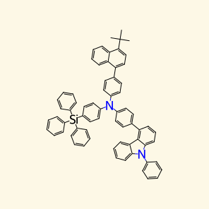 CC(C)(C)c1ccc(-c2ccc(N(c3ccc(-c4cccc5c4c4ccccc4n5-c4ccccc4)cc3)c3ccc([Si](c4ccccc4)(c4ccccc4)c4ccccc4)cc3)cc2)c2ccccc12